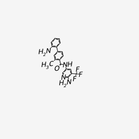 Cc1cc(-c2ccccc2N)ccc1C(=O)Nc1cnc(N)c(C(F)(F)F)c1